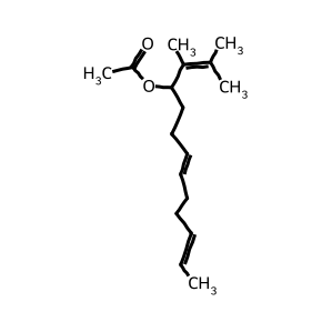 CC=CCCC=CCCC(OC(C)=O)C(C)=C(C)C